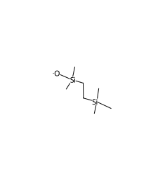 C[Si](C)(C)CC[Si](C)(C)[O]